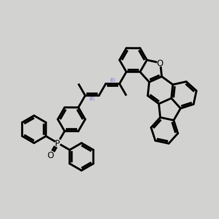 C/C(=C\C=C(/C)c1cccc2oc3c4cccc5c4c(cc3c12)-c1ccccc1-5)c1ccc(P(=O)(c2ccccc2)c2ccccc2)cc1